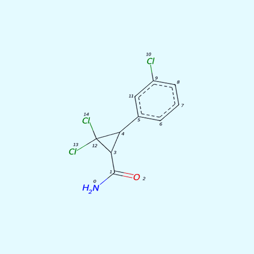 NC(=O)C1C(c2cccc(Cl)c2)C1(Cl)Cl